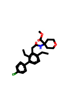 CCc1ccc(-c2ccc(Cl)cc2)c(CC)c1CC(=O)NC1(C(=O)OC)CCOCC1